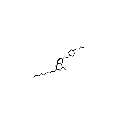 C=CCCC1CCC(CCc2ccc3cc(CCCCCCCCCC)oc(=O)c3c2)CC1